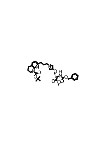 COC(=O)[C@H](COC1CN(CCCc2ccc3c(n2)N(C(=O)OC(C)(C)C)CCC3)C1)NC(=O)OCc1ccccc1